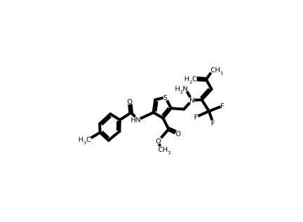 C=C(C)/C=C(\N(N)Cc1scc(NC(=O)c2ccc(C)cc2)c1C(=O)OC)C(F)(F)F